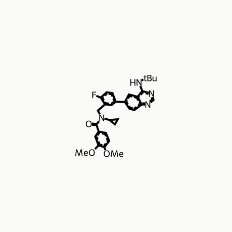 COc1ccc(C(=O)N(Cc2cc(-c3ccc4ncnc(NC(C)(C)C)c4c3)ccc2F)C2CC2)cc1OC